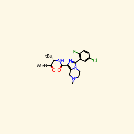 CNC(=O)[C@@H](NC(=O)c1nc(-c2cc(Cl)ccc2F)n2c1CN(C)CC2)C(C)(C)C